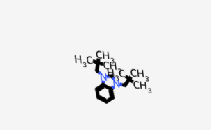 CC(C)(C)CN1[C]N(CC(C)(C)C)c2ccccc21